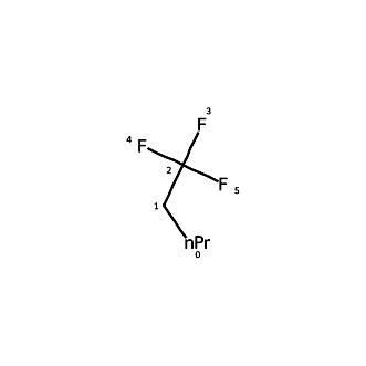 C[CH]CCC(F)(F)F